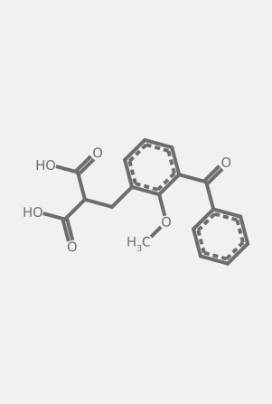 COc1c(CC(C(=O)O)C(=O)O)cccc1C(=O)c1ccccc1